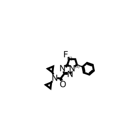 O=C(c1nc2n(n1)[C@H](c1ccccc1)C[C@@H]2F)N(C1CC1)C1CC1